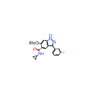 COc1cc2[nH]nc(-c3cccc(F)c3)c2cc1C(=O)NC1CC1